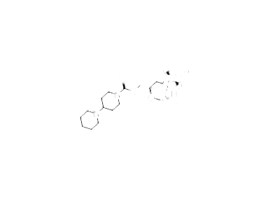 CC(C)O[C@H](COC(=O)N1CCC(N2CCCCC2)CC1)CN(C)S(C)(=O)=O